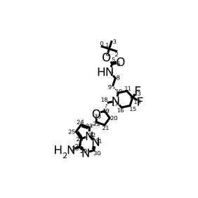 CC(C)(C)OC(=O)NCC[C@@H]1CC(F)(F)CCN1C[C@@H]1CC[C@H](c2ccc3c(N)ncnn23)O1